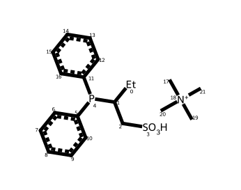 CCC(CS(=O)(=O)O)P(c1ccccc1)c1ccccc1.C[N+](C)(C)C